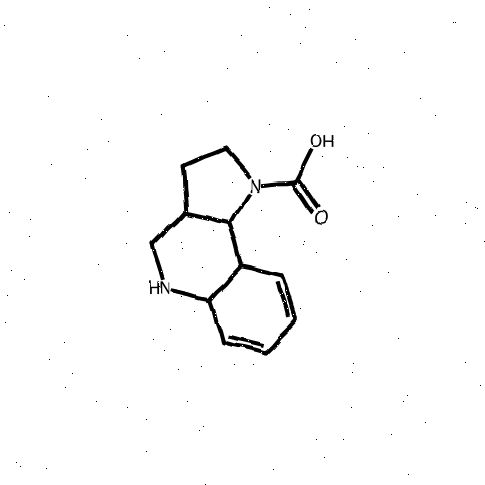 O=C(O)N1CCC2CNC3C=CC=CC3C21